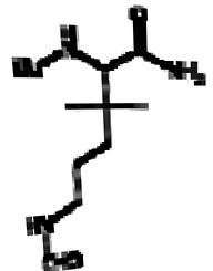 CCC(C)NC(C(N)=O)C(C)(C)CCCNC=O